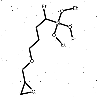 CCO[Si](OCC)(OCC)C(CC)CCCOCC1CO1